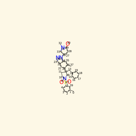 Cc1cccc(S(=O)(=O)N2CCC(Cc3ccccc3)(c3cc4cnn(-c5ccc(=O)n(C)c5)c4cc3C)C2)c1